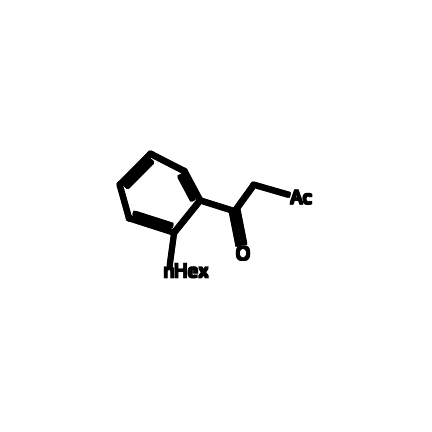 CCCCCCc1ccccc1C(=O)CC(C)=O